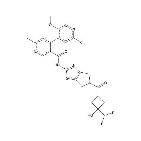 COc1cnc(Cl)cc1-c1cc(C)ncc1C(=O)Nc1nc2c(s1)CN(C(=O)C1CC(O)(C(F)F)C1)C2